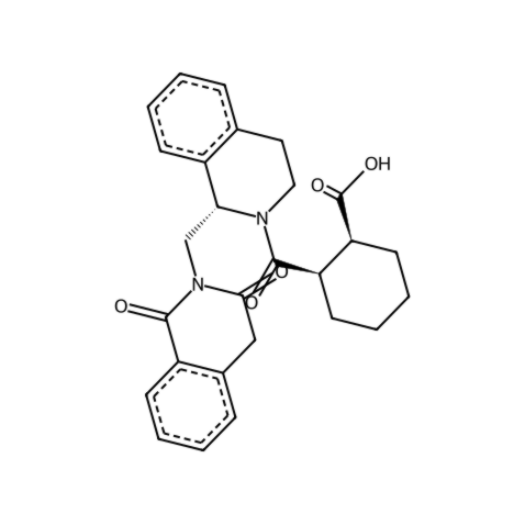 O=C(O)[C@H]1CCCC[C@H]1C(=O)N1CCc2ccccc2[C@H]1CN1C(=O)Cc2ccccc2C1=O